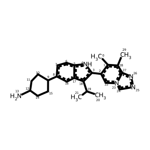 Cc1c(-c2[nH]c3ccc(C4CCC(N)CC4)cc3c2C(C)C)cn2cnnc2c1C